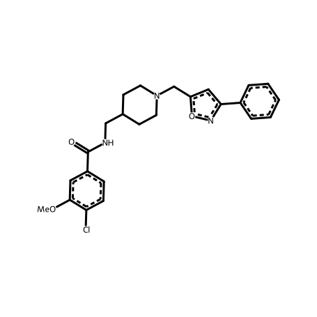 COc1cc(C(=O)NCC2CCN(Cc3cc(-c4ccccc4)no3)CC2)ccc1Cl